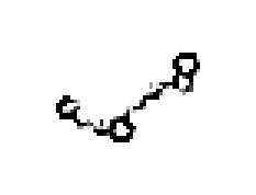 c1cc(CNCc2ccco2)cc(OCCCNc2nsc3ccccc23)c1